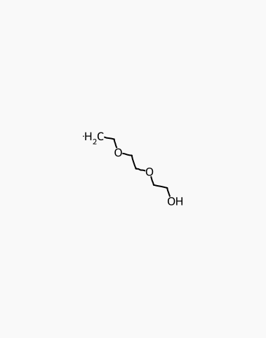 [CH2]COCCOCCO